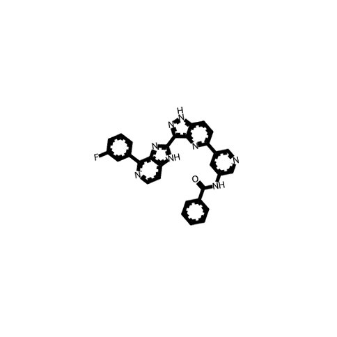 O=C(Nc1cncc(-c2ccc3[nH]nc(-c4nc5c(-c6cccc(F)c6)nccc5[nH]4)c3n2)c1)c1ccccc1